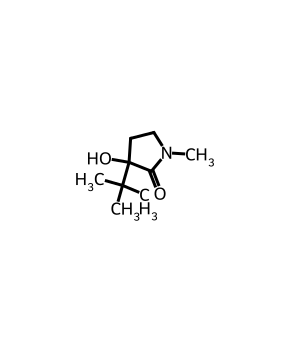 CN1CCC(O)(C(C)(C)C)C1=O